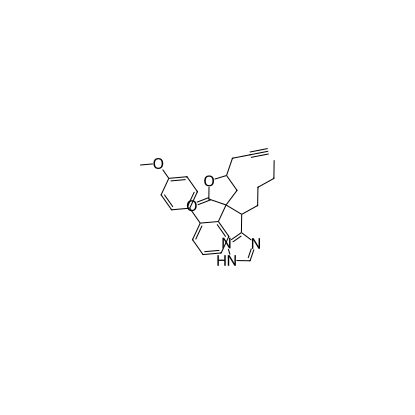 C#CCC1CC(c2ccccc2-c2ccc(OC)cc2)(C(CCCC)c2nc[nH]n2)C(=O)O1